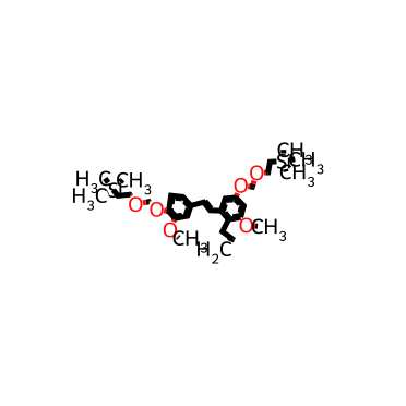 C=CCc1c(C=Cc2ccc(OCOCC[Si](C)(C)C)c(OC)c2)cc(OCOCC[Si](C)(C)C)cc1OC